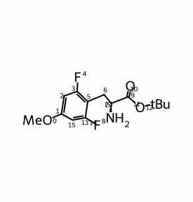 COc1cc(F)c(C[C@H](N)C(=O)OC(C)(C)C)c(F)c1